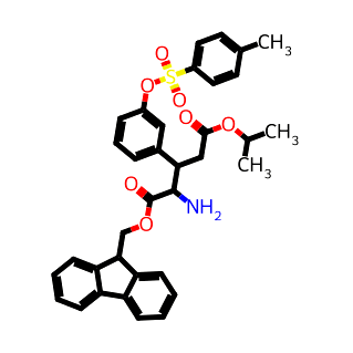 Cc1ccc(S(=O)(=O)Oc2cccc(C(CC(=O)OC(C)C)C(N)C(=O)OCC3c4ccccc4-c4ccccc43)c2)cc1